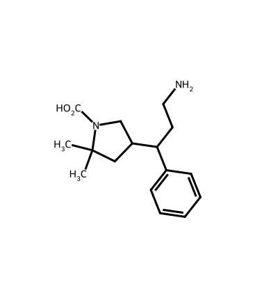 CC1(C)CC(C(CCN)c2ccccc2)CN1C(=O)O